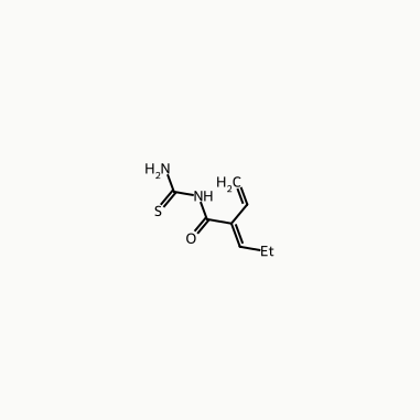 C=C/C(=C\CC)C(=O)NC(N)=S